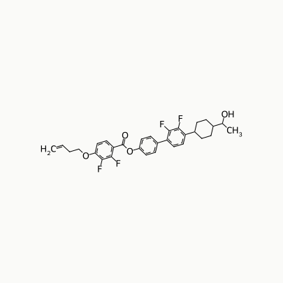 C=CCCOc1ccc(C(=O)Oc2ccc(-c3ccc(C4CCC(C(C)O)CC4)c(F)c3F)cc2)c(F)c1F